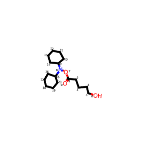 O=C(CCCCO)ON(C1CCCCC1)C1CCCCC1